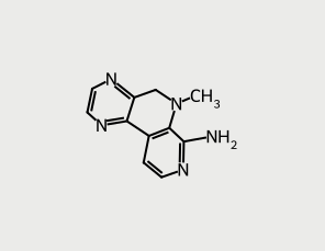 CN1Cc2nccnc2-c2ccnc(N)c21